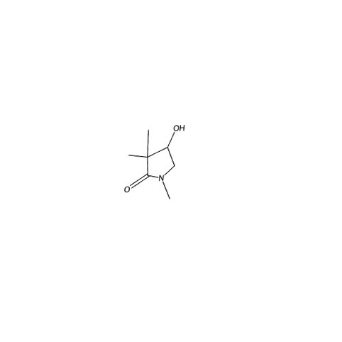 CN1CC(O)C(C)(C)C1=O